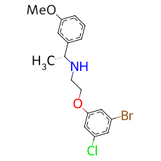 COc1cccc([C@@H](C)NCCOc2cc(Cl)cc(Br)c2)c1